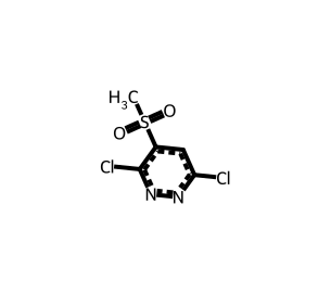 CS(=O)(=O)c1cc(Cl)nnc1Cl